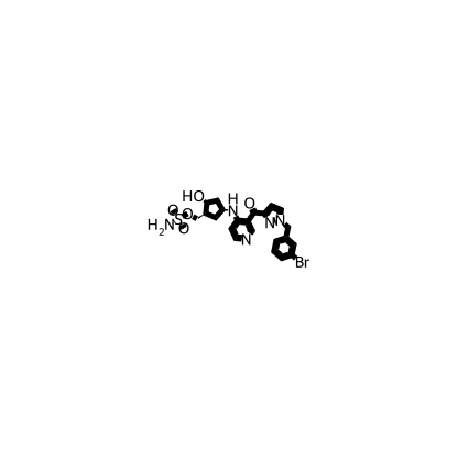 NS(=O)(=O)OC[C@H]1C[C@@H](Nc2ccncc2C(=O)c2ccn(Cc3cccc(Br)c3)n2)C[C@@H]1O